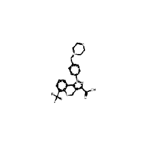 O=C(O)c1nn(-c2ccc(CN3CCOCC3)cc2)c2c1CSc1c-2cccc1C(F)(F)F